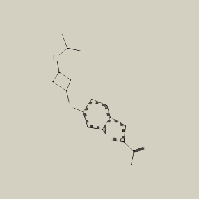 CC(=O)c1cc2ccc(OC3CC(NC(C)C)C3)cc2o1